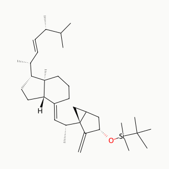 C=C1[C@@H](O[Si](C)(C)C(C)(C)C)CC2C[C@]12[C@H](C)/C=C1\CCC[C@]2(C)[C@@H]([C@H](C)/C=C/[C@H](C)C(C)C)CC[C@@H]12